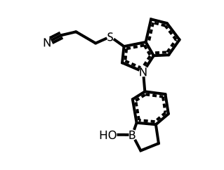 N#CCCSc1cn(-c2ccc3c(c2)B(O)CC3)c2ccccc12